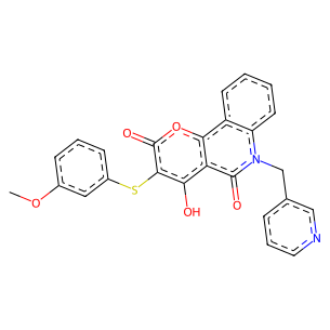 COc1cccc(Sc2c(O)c3c(=O)n(Cc4cccnc4)c4ccccc4c3oc2=O)c1